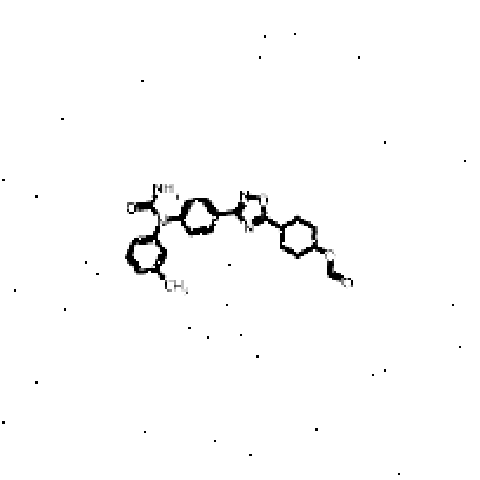 Cc1cccc(N(C(N)=O)c2ccc(-c3noc(C4CCC(OC=O)CC4)n3)cc2)c1